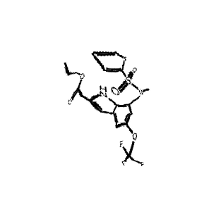 CCOC(=O)c1cc2cc(OC(F)(F)F)cc(N(C)S(=O)(=O)c3cccs3)c2[nH]1